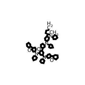 C=C/C=C\c1c(C)n(-c2ccccc2)c2cc(N(c3ccccc3)c3ccc4oc5c(N(c6ccccc6)c6ccc7c(c6)oc6ccccc67)cc(N(c6ccccc6)c6ccc7c(c6)oc6ccccc67)cc5c4c3)ccc12